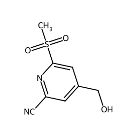 CS(=O)(=O)c1cc(CO)cc(C#N)n1